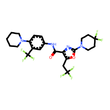 O=C(Nc1ccc(N2CCCCC2)c(C(F)(F)F)c1)c1nc(N2CCC(F)(F)CC2)oc1CC(F)(F)F